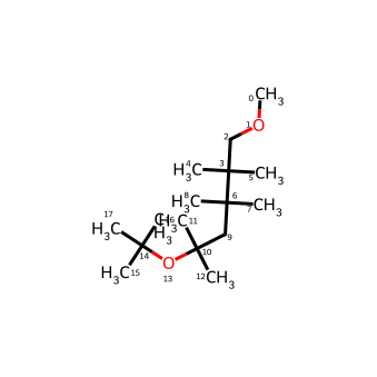 COCC(C)(C)C(C)(C)CC(C)(C)OC(C)(C)C